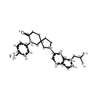 O=C1CCC2(CCN(c3cnc4cnn(CC(F)F)c4n3)C2)CN1c1ccc(C(F)(F)F)nc1